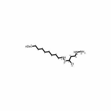 CCCCCCCCCCCCCCCCCCNOC(CC)CCNN